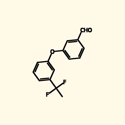 CC(F)(F)c1cccc(Oc2cccc(C=O)c2)c1